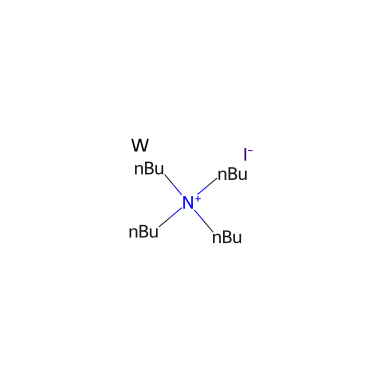 CCCC[N+](CCCC)(CCCC)CCCC.[I-].[W]